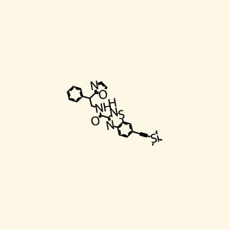 C[Si](C)(C)C#Cc1ccc2c(c1)SNC(C(=O)NCC(c1ccccc1)c1ncco1)=N2